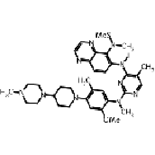 COc1cc(N2CCC(N3CCN(C)CC3)CC2)c(C)cc1N(C)c1ncc(C)c(N(I)c2ccc3nccnc3c2N(C)SC)n1